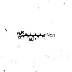 CCCCCCCCCCCCCCC/C=C/CS(=O)(=O)[O-].[Na+]